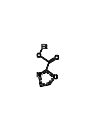 CCOC(=O)c1ncco1